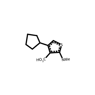 CNc1scc(C2CCCC2)c1C(=O)O